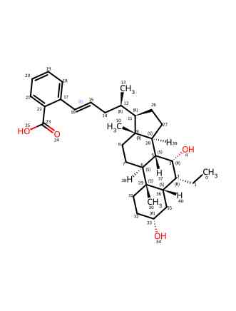 CC[C@H]1[C@@H](O)[C@@H]2[C@H](CC[C@]3(C)[C@@H]([C@H](C)C/C=C/c4ccccc4C(=O)O)CC[C@@H]23)[C@@]2(C)CC[C@@H](O)C[C@@H]12